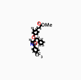 COC(=O)CCc1ccc(OC(Cc2ccccc2)c2oc(-c3ccc(C(F)(F)F)cc3)nc2C)cc1C